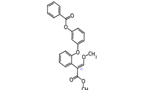 CO/C=C(/C(=O)OC)c1ccccc1Oc1cccc(OC(=O)c2ccccc2)c1